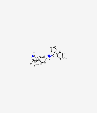 Cc1ccc(C2(CNCc3ccc(C4(CN(C)C)CCCC4)cc3)CCCC2)cc1